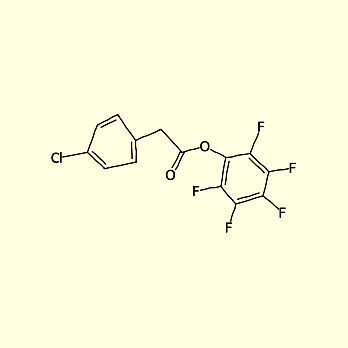 O=C(Cc1ccc(Cl)cc1)Oc1c(F)c(F)c(F)c(F)c1F